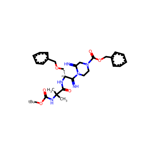 CC(C)(C)OC(=O)NC(C)(C)C(=O)N[C@H](COCc1ccccc1)C(=N)N1CCN(C(=O)OCc2ccccc2)CC1=N